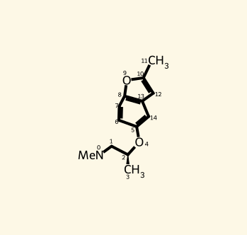 CNC[C@H](C)Oc1ccc2oc(C)cc2c1